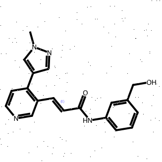 Cn1cc(-c2ccncc2/C=C/C(=O)Nc2cccc(CO)c2)cn1